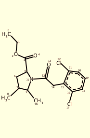 CCOC(=O)C1CC(C)C(C)N1C(=O)Cc1c(Cl)cccc1Cl